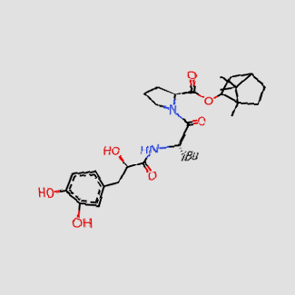 CCC(C)[C@H](NC(=O)[C@H](O)Cc1ccc(O)c(O)c1)C(=O)N1CCC[C@H]1C(=O)OC1CC2CCC1(C)C2(C)C